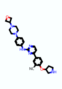 N#Cc1cc(-c2ccnc(Nc3ccc(N4CCN(C5COC5)CC4)cc3)n2)ccc1OC1CCNC1